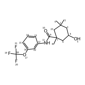 CC1(C)CC(O)CC(C)(C(=O)Nc2cccc(OC(F)(F)F)c2)C1